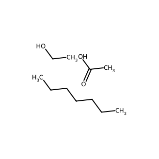 CC(=O)O.CCCCCCC.CCO